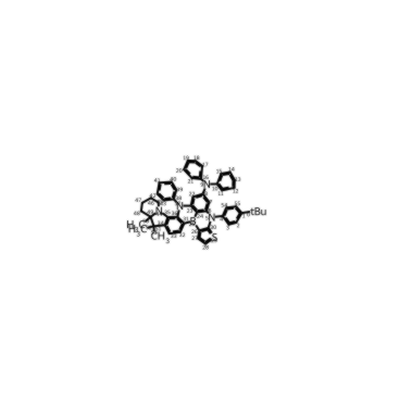 CC(C)(C)c1ccc(N2c3cc(N(c4ccccc4)c4ccccc4)cc4c3B(c3ccsc32)c2ccc3c(c2N4c2ccccc2)N2CCCCC2(C)C3(C)C)cc1